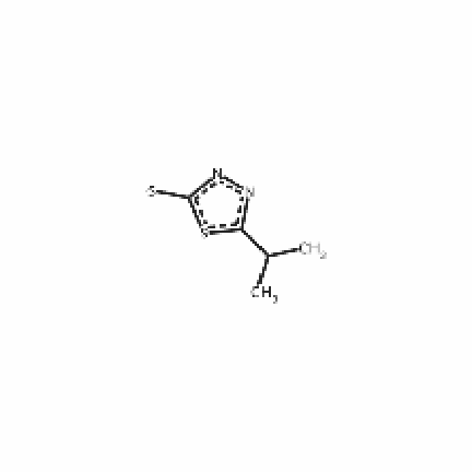 CC(C)c1nnc([S])s1